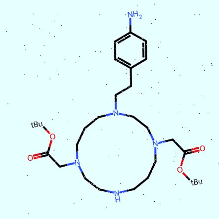 CC(C)(C)OC(=O)CN1CCCN(CCc2ccc(N)cc2)CCN(CC(=O)OC(C)(C)C)CCCNCC1